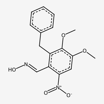 COc1cc([N+](=O)[O-])c(C=NO)c(Cc2ccccc2)c1OC